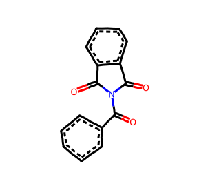 O=C(c1ccccc1)N1C(=O)c2ccccc2C1=O